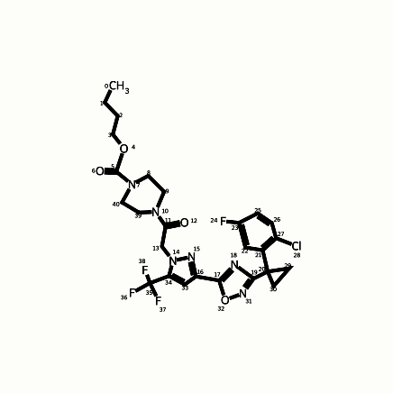 CCCCOC(=O)N1CCN(C(=O)Cn2nc(-c3nc(C4(c5cc(F)ccc5Cl)CC4)no3)cc2C(F)(F)F)CC1